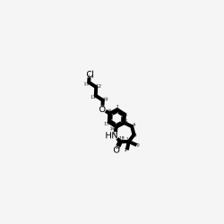 CC1(C)CCc2ccc(OCCCCCl)cc2NC1=O